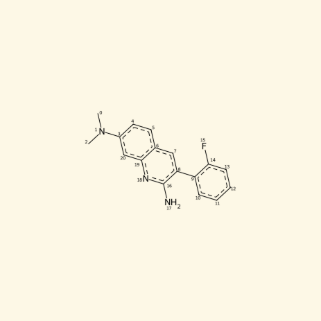 CN(C)c1ccc2cc(-c3ccccc3F)c(N)nc2c1